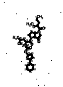 CCCC(OC)C(=O)N1CC(=O)C2C1CCN2C(=O)C(CC(C)C)NC(=O)Oc1ccc(-c2ccccc2)s1